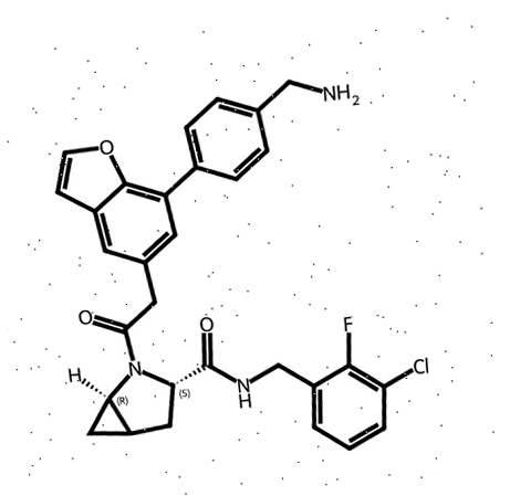 NCc1ccc(-c2cc(CC(=O)N3[C@@H]4CC4C[C@H]3C(=O)NCc3cccc(Cl)c3F)cc3ccoc23)cc1